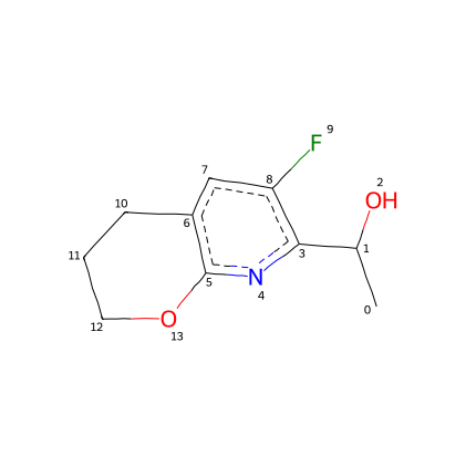 CC(O)c1nc2c(cc1F)CCCO2